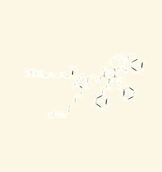 CCCCCCCCCCCCCCCC(=O)OCC(CO[C@H]1O[C@H](CS(=O)(=O)O)[C@@H](OCc2ccccc2)[C@H](OCc2ccccc2)[C@H]1OCc1ccccc1)OC(=O)CCCCCCCCCCCCCCC